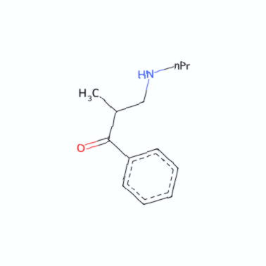 CCCNCC(C)C(=O)c1ccccc1